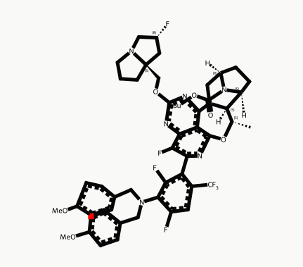 COc1ccc(CN(Cc2ccc(OC)cc2)c2c(F)cc(C(F)(F)F)c(-c3nc4c5c(nc(OC[C@@]67CCCN6C[C@H](F)C7)nc5c3F)N3C[C@H]5CC[C@@H]([C@H]3[C@H](C)O4)N5C(=O)OC(C)(C)C)c2F)cc1